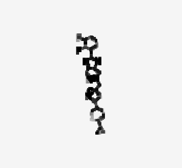 Fc1cccc(-c2nc3cnn(Cc4cc(-c5ccc(C6CC6)cc5)no4)cc-3n2)c1F